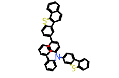 c1ccc(-c2ccccc2N(c2ccc(-c3ccc4sc5c6ccccc6ccc5c4c3)cc2)c2ccc3c(c2)sc2ccccc23)cc1